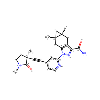 CN1CC[C@@](C)(C#Cc2ccnc(-n3nc(C(N)=O)c4c3C[C@]3(C)C[C@@H]3C4)c2)C1=O